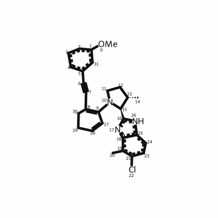 COc1cccc(C#CC2=C(N3CC[C@H](C)[C@H]3c3nc4c(C)c(Cl)ccc4[nH]3)C=CC[CH]2)c1